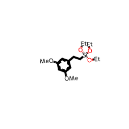 CCO[Si](CCc1cc(OC)cc(OC)c1)(OCC)OCC